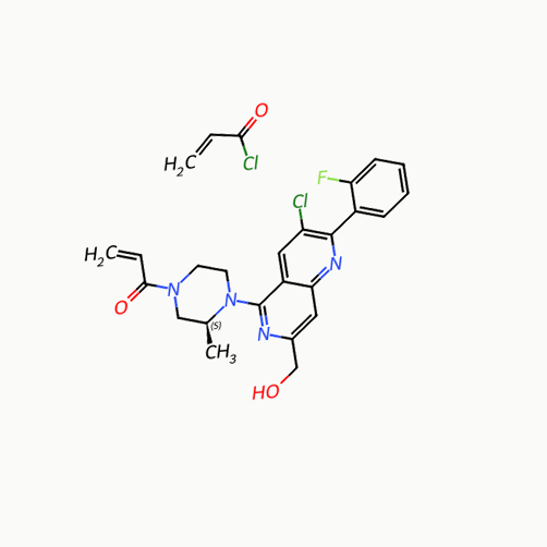 C=CC(=O)Cl.C=CC(=O)N1CCN(c2nc(CO)cc3nc(-c4ccccc4F)c(Cl)cc23)[C@@H](C)C1